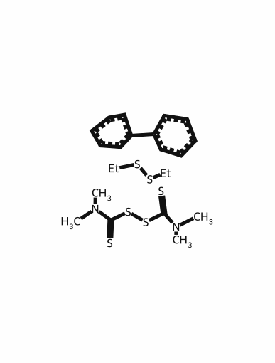 CCSSCC.CN(C)C(=S)SSC(=S)N(C)C.c1ccc(-c2ccccc2)cc1